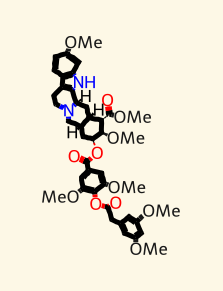 COC(=O)[C@H]1[C@H]2C[C@@H]3c4[nH]c5cc(OC)ccc5c4CCN3C[C@H]2C[C@@H](OC(=O)c2cc(OC)c(OC(=O)Cc3cc(OC)cc(OC)c3)c(OC)c2)[C@@H]1OC